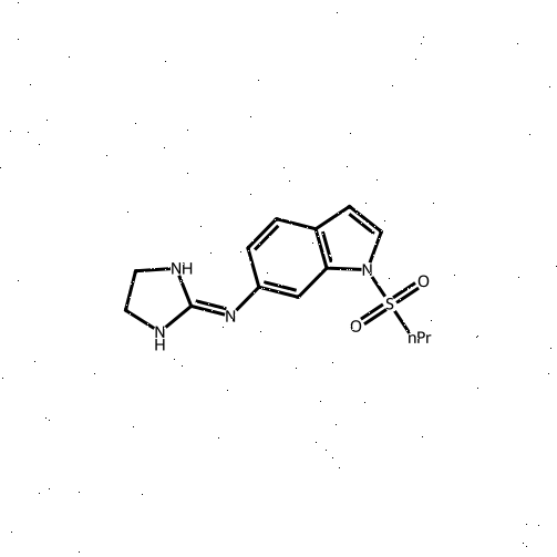 CCCS(=O)(=O)n1ccc2ccc(N=C3NCCN3)cc21